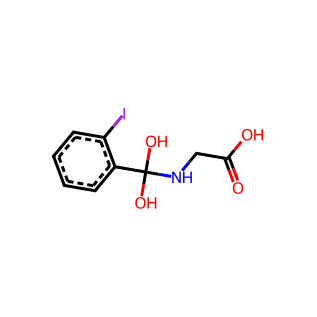 O=C(O)CNC(O)(O)c1ccccc1I